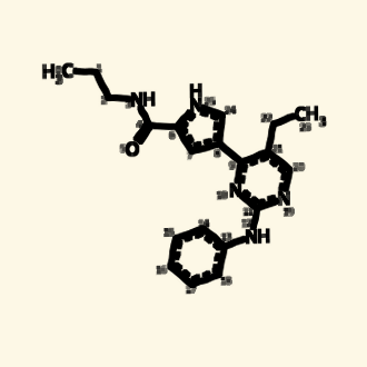 CCCNC(=O)c1cc(-c2nc(Nc3ccccc3)ncc2CC)c[nH]1